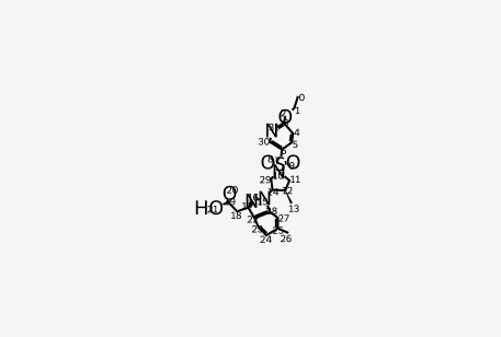 CCOc1ccc(S(=O)(=O)N2C[C@@H](C)[C@@H](n3nc(CC(=O)O)c4ccc(C)cc43)C2)cn1